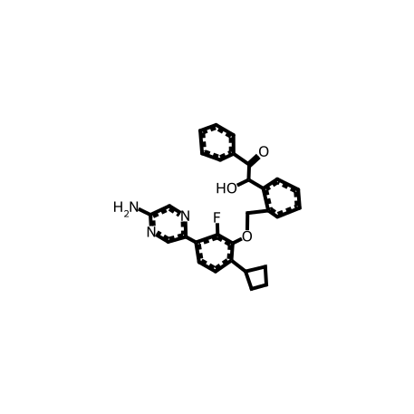 Nc1cnc(-c2ccc(C3CCC3)c(OCc3ccccc3C(O)C(=O)c3ccccc3)c2F)cn1